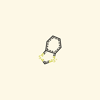 c1ccc2[s+]csc2c1